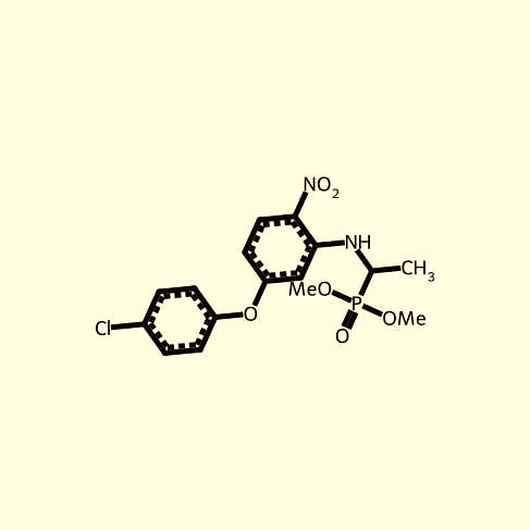 COP(=O)(OC)C(C)Nc1cc(Oc2ccc(Cl)cc2)ccc1[N+](=O)[O-]